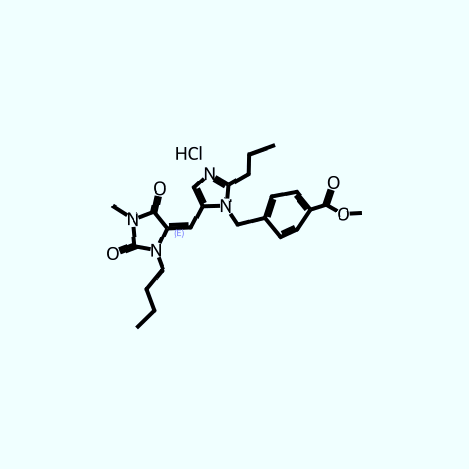 CCCCN1C(=O)N(C)C(=O)/C1=C\c1cnc(CCC)n1Cc1ccc(C(=O)OC)cc1.Cl